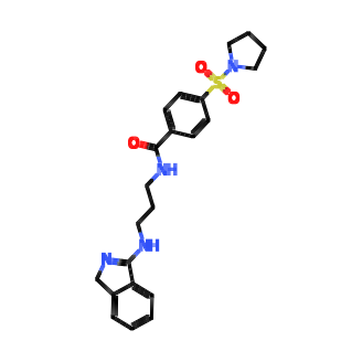 O=C(NCCCNC1=NCc2ccccc21)c1ccc(S(=O)(=O)N2CCCC2)cc1